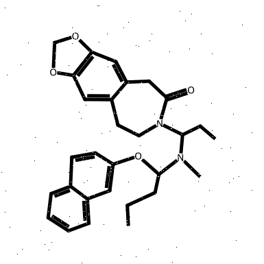 CCCC(Oc1ccc2ccccc2c1)N(C)C(CC)N1CCc2cc3c(cc2CC1=O)OCO3